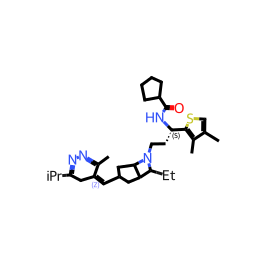 CCC1C2CC(/C=C3/CC(C(C)C)=NN=C3C)CC2N1CC[C@H](NC(=O)C1CCCC1)c1scc(C)c1C